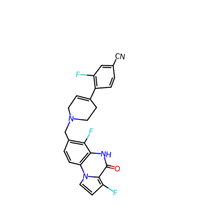 N#Cc1ccc(C2=CCN(Cc3ccc4c([nH]c(=O)c5c(F)ccn54)c3F)CC2)c(F)c1